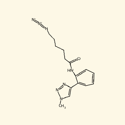 Cn1cc(-c2ccccc2NC(=O)CCCCCN=[N+]=[N-])nn1